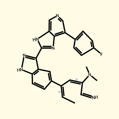 C/C=C(\C=C(/C=N)N(C)C)c1ccc2[nH]nc(-c3nc4c(-c5ccc(F)cc5)cncc4[nH]3)c2c1